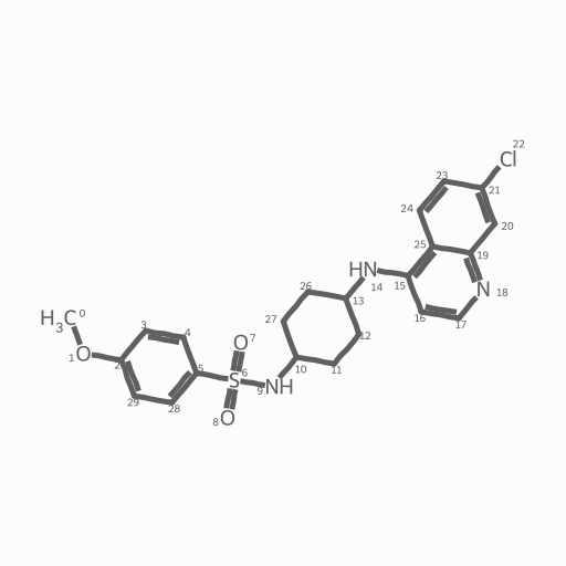 COc1ccc(S(=O)(=O)NC2CCC(Nc3ccnc4cc(Cl)ccc34)CC2)cc1